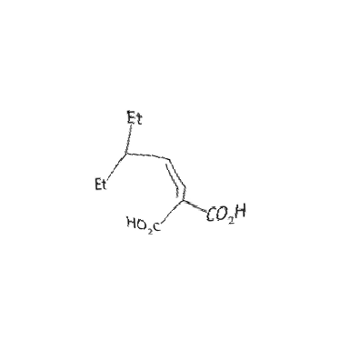 CCC(C=C(C(=O)O)C(=O)O)CC